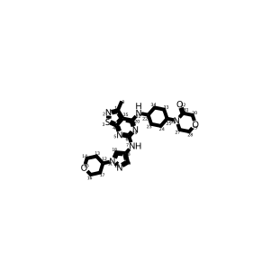 Cc1nsc2nc(Nc3cnn(C4CCOCC4)c3)nc(NC3CCC(N4CCOCC4=O)CC3)c12